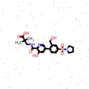 CC(C)(CNC(=O)c1ncc(-c2ccc(S(=O)(=O)N3CCCC3)cc2CO)cc1O)C(=O)O